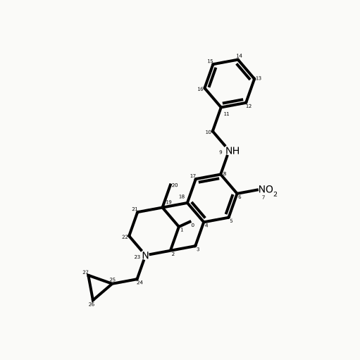 CC1C2Cc3cc([N+](=O)[O-])c(NCc4ccccc4)cc3C1(C)CCN2CC1CC1